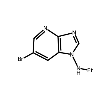 CCNn1cnc2ncc(Br)cc21